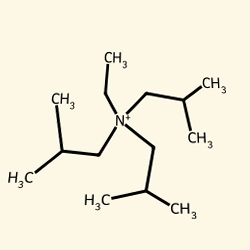 CC[N+](CC(C)C)(CC(C)C)CC(C)C